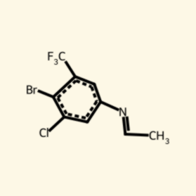 CC=Nc1cc(Cl)c(Br)c(C(F)(F)F)c1